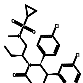 CC[C@@H](CN(C)S(=O)(=O)C1CC1)N1C(=O)CC[C@H](c2cccc(Cl)c2)[C@H]1c1ccc(Cl)cc1